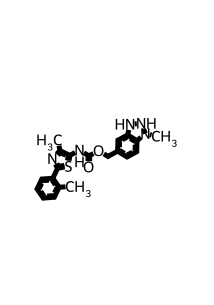 Cc1ccccc1-c1nc(C)c(NC(=O)OCc2ccc3c(c2)NNN3C)s1